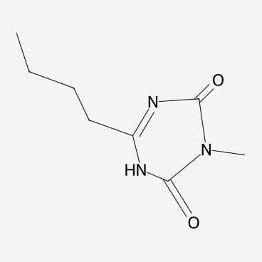 CCCCc1nc(=O)n(C)c(=O)[nH]1